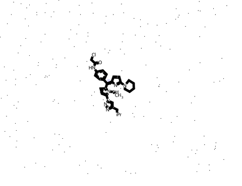 CBn1c(/C(=C2/C=CC(N3CCCCC3)=N2)c2ccc(NC(=O)CCl)cc2)ccc1-n1cc(CC(C)C)nn1